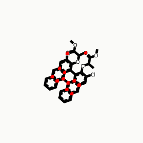 COC(=O)C(C)Oc1c(Cl)ccc(P(c2ccccc2)c2ccccc2)c1-c1c(P(c2ccccc2)c2ccccc2)ccc(Cl)c1OC(C)C(=O)OC